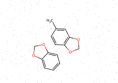 Cc1ccc2c(c1)OCO2.c1ccc2c(c1)OCO2